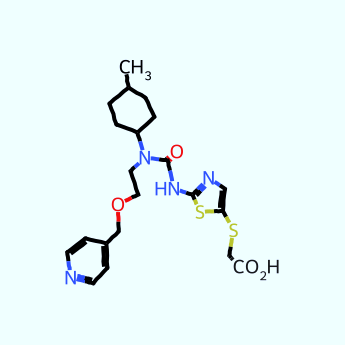 CC1CCC(N(CCOCc2ccncc2)C(=O)Nc2ncc(SCC(=O)O)s2)CC1